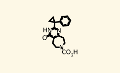 O=C(O)N1CCc2nc(C3(c4ccccc4)CC3)[nH]c(=O)c2CC1